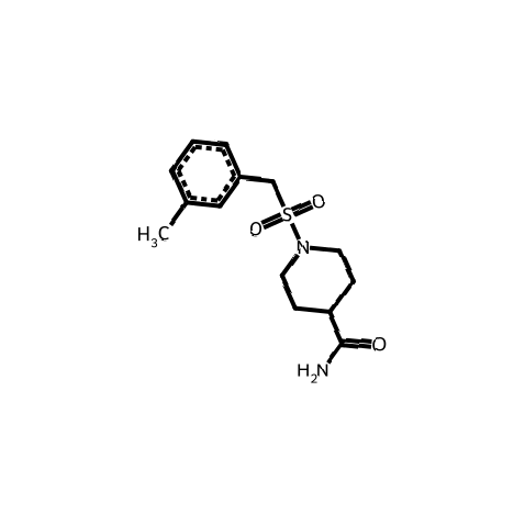 Cc1cccc(CS(=O)(=O)N2CCC(C(N)=O)CC2)c1